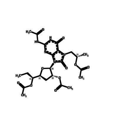 CC[C@H](OC(C)=O)[C@@H]1C[C@@H](OC(C)=O)[C@H](n2c(=O)n(C[C@H](C)OC(C)=O)c3c(=O)[nH]c(NC(C)=O)nc32)O1